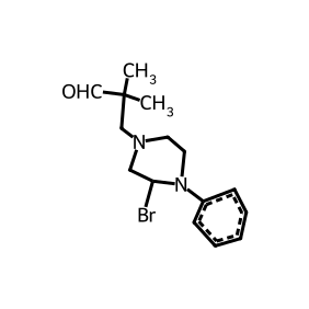 CC(C)(C=O)CN1CCN(c2ccccc2)C(Br)C1